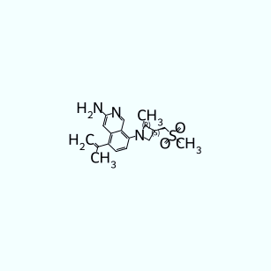 C=C(C)c1ccc(N2C[C@H](CS(C)(=O)=O)[C@H]2C)c2cnc(N)cc12